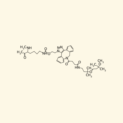 CNC(CCCCNC(=O)OCCn1nnc2c1-c1ccccc1N(C(=O)CCC(=O)NCCC(C)(C)OCCC(C)(C)OC)Cc1ccccc1-2)C(C)=O